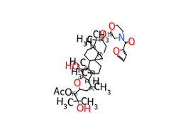 CC(=O)O[C@@H](C1C[C@@H](C)[C@H]2C(O1)[C@H](O)[C@@]1(C)C3CC[C@H]4C(C)(C)[C@@H](O[C@H]5CN(C(=O)c6ccco6)CCO5)CC[C@@]45CC35CC[C@]21C)C(C)(C)O